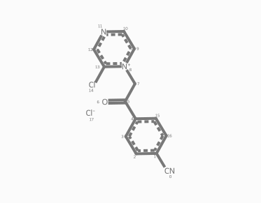 N#Cc1ccc(C(=O)C[n+]2ccncc2Cl)cc1.[Cl-]